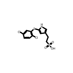 O=S(=O)(O)CCc1c[nH]c(Sc2cc(Cl)ccc2Cl)c1